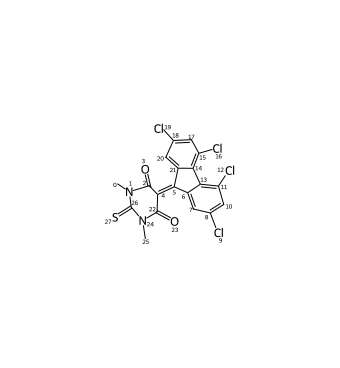 CN1C(=O)C(=C2c3cc(Cl)cc(Cl)c3-c3c(Cl)cc(Cl)cc32)C(=O)N(C)C1=S